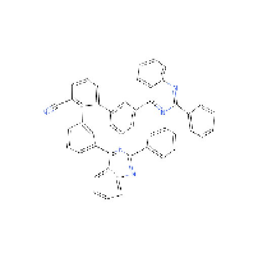 N#Cc1cccc(-c2cccc(-c3nc(-c4ccccc4)nc4ccccc34)c2)c1-c1cccc(-c2nc(-c3ccccc3)nc3ccccc23)c1